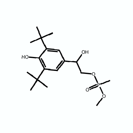 COP(C)(=O)OCC(O)c1cc(C(C)(C)C)c(O)c(C(C)(C)C)c1